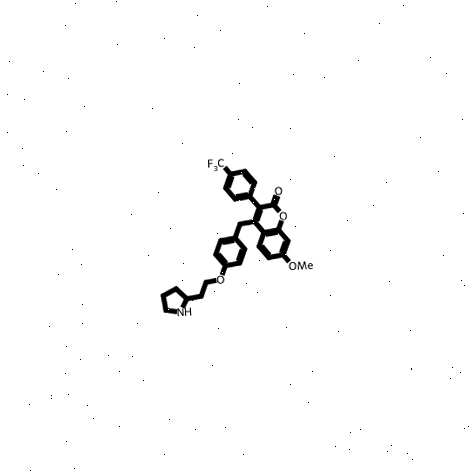 COc1ccc2c(Cc3ccc(OCCC4CCCN4)cc3)c(-c3ccc(C(F)(F)F)cc3)c(=O)oc2c1